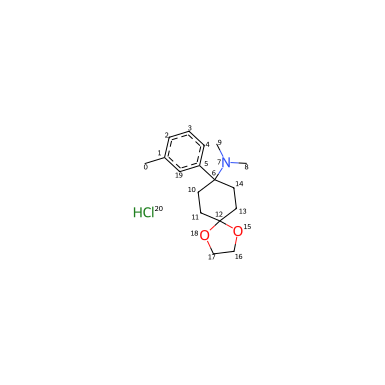 Cc1cccc(C2(N(C)C)CCC3(CC2)OCCO3)c1.Cl